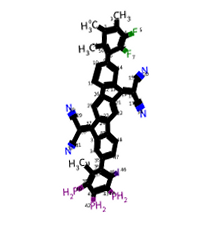 Cc1c(C)c(F)c(F)c(-c2ccc3c(c2)C(=C(C#N)C#N)c2cc4c(cc2-3)C(=C(C#N)C#N)c2cc(-c3c(C)c(P)c(P)c(P)c3I)ccc2-4)c1C